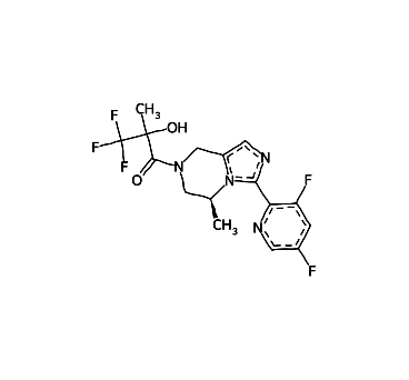 C[C@H]1CN(C(=O)C(C)(O)C(F)(F)F)Cc2cnc(-c3ncc(F)cc3F)n21